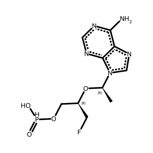 C[C@@H](O[C@@H](CF)CO[PH](=O)O)n1cnc2c(N)ncnc21